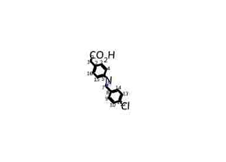 O=C(O)Cc1ccc(/N=C/c2ccc(Cl)cc2)cc1